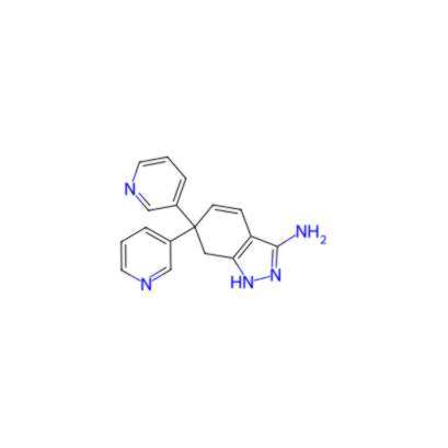 Nc1n[nH]c2c1C=CC(c1cccnc1)(c1cccnc1)C2